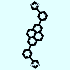 c1cc(-c2cc3ccc4cc(-c5cccc(-c6cnco6)c5)cc5ccc(c2)c3c45)cc(-c2cnco2)c1